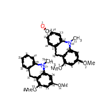 C=O.COc1cc(OC)c2c(c1)N(C)c1ccccc1C2.COc1cc(OC)c2c(c1)N(C)c1ccccc1C2